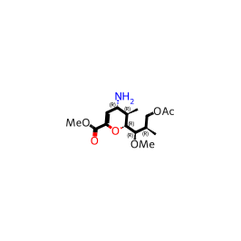 COC(=O)C1=C[C@H](N)[C@@H](C)[C@H]([C@H](OC)[C@H](C)COC(C)=O)O1